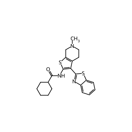 CN1CCc2c(sc(NC(=O)C3CCCCC3)c2-c2nc3ccccc3s2)C1